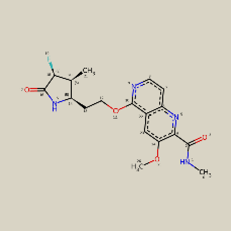 CNC(=O)c1nc2ccnc(OCC[C@H]3NC(=O)[C@@H](F)[C@H]3C)c2cc1OC